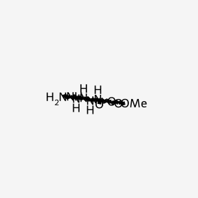 COCCOCCOCCCCC(=O)NCCNCCNCCNCCNCCN